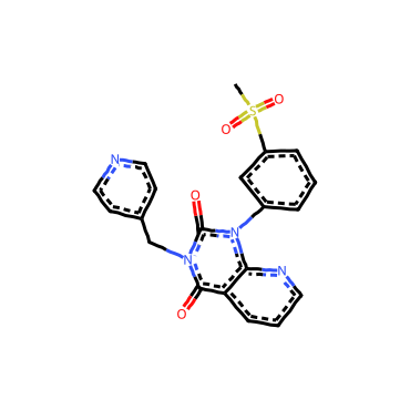 CS(=O)(=O)c1cccc(-n2c(=O)n(Cc3ccncc3)c(=O)c3cccnc32)c1